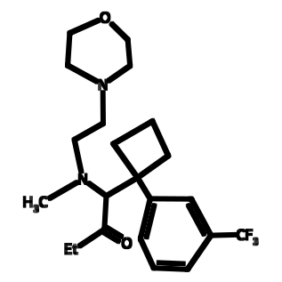 CCC(=O)C(N(C)CCN1CCOCC1)C1(c2cccc(C(F)(F)F)c2)CCC1